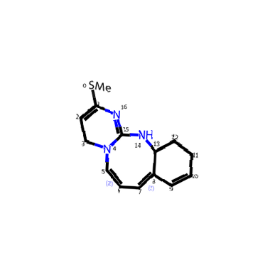 CSC1=CCN2/C=C\C=C3\C=CCCC3NC2=N1